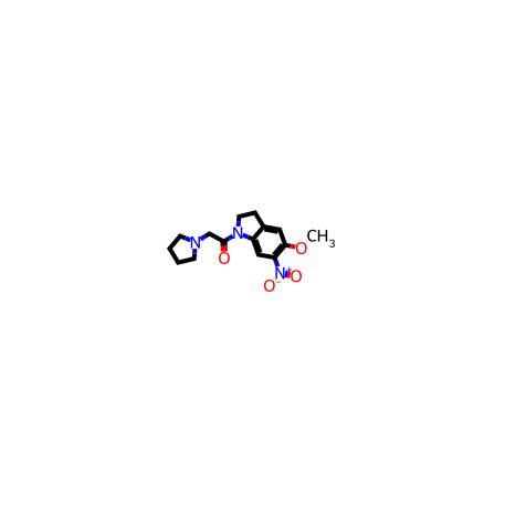 COc1cc2c(cc1[N+](=O)[O-])N(C(=O)CN1CCCC1)CC2